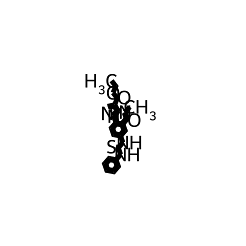 CCOC(=O)c1cnn2c3ccc(NC(=S)Nc4ccccc4)cc3c(=O)n(C)c12